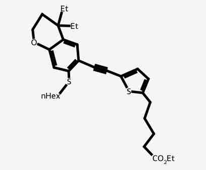 CCCCCCSc1cc2c(cc1C#Cc1ccc(CCCCC(=O)OCC)s1)C(CC)(CC)CCO2